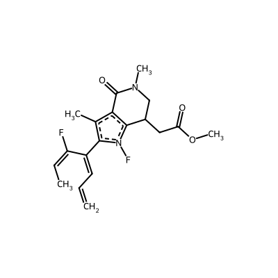 C=C/C=C(\C(F)=C/C)c1c(C)c2c(n1F)C(CC(=O)OC)CN(C)C2=O